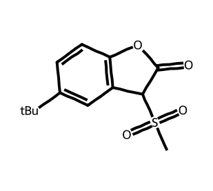 CC(C)(C)c1ccc2c(c1)C(S(C)(=O)=O)C(=O)O2